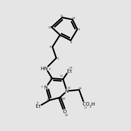 CCc1nc(NCCc2ccccc2)c(CC)n(CC(=O)O)c1=O